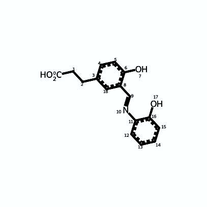 O=C(O)CCc1ccc(O)c(/C=N/c2ccccc2O)c1